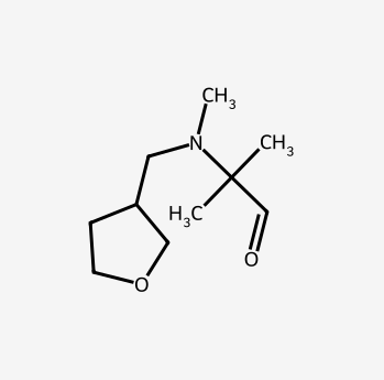 CN(CC1CCOC1)C(C)(C)C=O